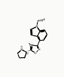 CCCCCCCn1ccc2c(-c3noc([C@@H]4CCCN4)n3)cccc21